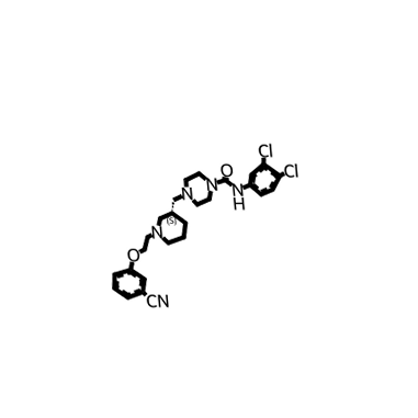 N#Cc1cccc(OCCN2CCC[C@@H](CN3CCN(C(=O)Nc4ccc(Cl)c(Cl)c4)CC3)C2)c1